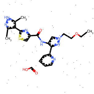 CCOCCn1cc(NC(=O)c2csc(-c3c(C)n[nH]c3C)n2)c(-c2ccccn2)n1.O=CO